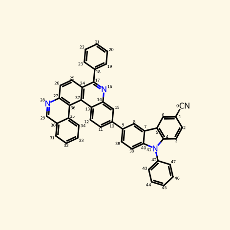 N#Cc1ccc2c(c1)c1cc(-c3ccc4c(c3)nc(-c3ccccc3)c3ccc5ncc6ccccc6c5c34)ccc1n2-c1ccccc1